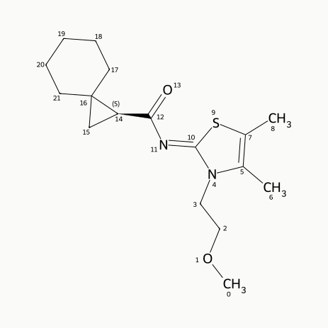 COCCn1c(C)c(C)sc1=NC(=O)[C@H]1CC12CCCCC2